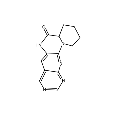 O=C1Nc2cc3cncnc3nc2N2CCCCC12